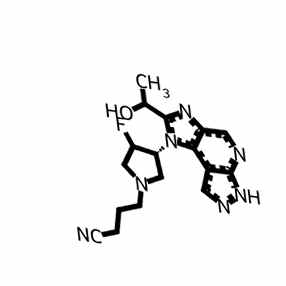 CC(O)c1nc2cnc3[nH]ncc3c2n1[C@@H]1CN(CCCC#N)CC1F